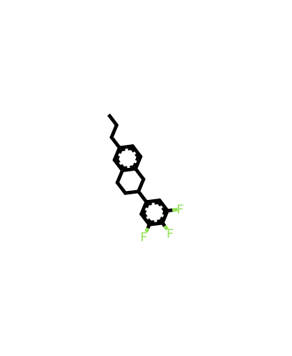 CCCc1ccc2c(c1)CCC(c1cc(F)c(F)c(F)c1)C2